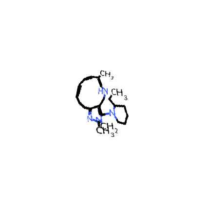 C=N/C(=C1/CN/C=C(C)/C=C\C=C/CC/C1=N/CC)N1CCCCC1CC